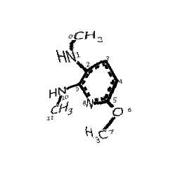 CNc1ccc(OC)nc1NC